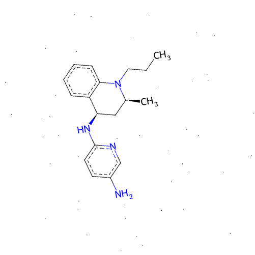 CCCN1c2ccccc2[C@H](Nc2ccc(N)cn2)C[C@@H]1C